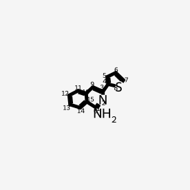 Nc1nc(-c2cccs2)cc2ccccc12